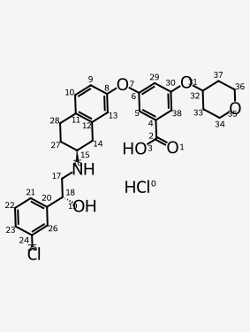 Cl.O=C(O)c1cc(Oc2ccc3c(c2)C[C@@H](NC[C@H](O)c2cccc(Cl)c2)CC3)cc(OC2CCOCC2)c1